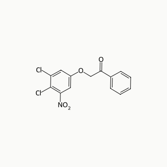 O=C(COc1cc(Cl)c(Cl)c([N+](=O)[O-])c1)c1ccccc1